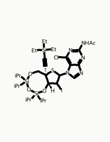 CC[Si](C#C[C@@]12CO[Si](C(C)C)(C(C)C)O[Si](C(C)C)(C(C)C)O[C@H]1C(I)C(n1cnc3nc(NC(C)=O)nc(Cl)c31)S2)(CC)CC